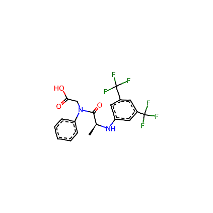 C[C@H](Nc1cc(C(F)(F)F)cc(C(F)(F)F)c1)C(=O)N(CC(=O)O)c1ccccc1